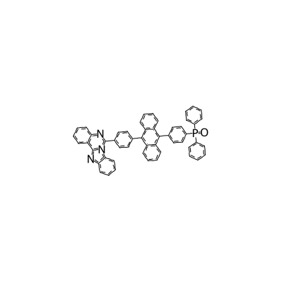 O=P(c1ccccc1)(c1ccccc1)c1ccc(-c2c3ccccc3c(-c3ccc(-c4nc5ccccc5c5nc6ccccc6n45)cc3)c3ccccc23)cc1